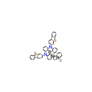 C[Si]1(c2ccccc2)c2cccc3c2B2c4c(cccc4N(c4ccc5c(c4)sc4ccccc45)c4cccc1c42)N3c1ccc2c(c1)sc1ccccc12